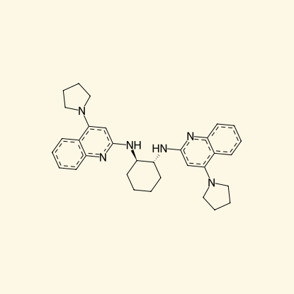 c1ccc2c(N3CCCC3)cc(N[C@@H]3CCCC[C@H]3Nc3cc(N4CCCC4)c4ccccc4n3)nc2c1